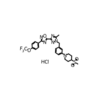 Cc1nc(-c2nc(-c3ccc(OC(F)(F)F)cc3)no2)nn1Cc1cccc(N2CCC(S(C)(=O)=O)CC2)c1.Cl